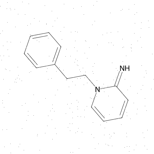 N=c1ccccn1CCc1ccccc1